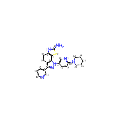 Nc1nc2c(s1)-c1c(c(-c3cccnc3)nn1-c1ccc(N3CCCCC3)nc1)CC2